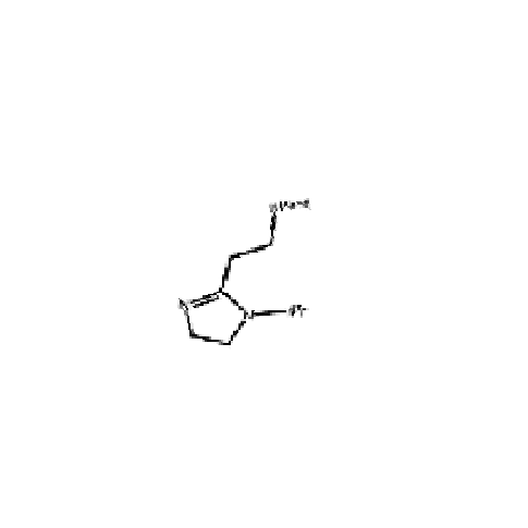 CCCCCCCC1=NCCN1C(C)C